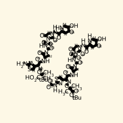 CC(C)(C)OC(=O)Nc1nc(C(=NOC(C)(C)C(=O)OC(C)(C)C)C(=O)NC2CN(C(=O)NS(=O)(=O)N3C(=O)CN(NC(=O)c4cc(=O)c(O)c[nH]4)C3=O)C2=O)cs1.CC(C)(ON=C(C(=O)NC1CN(C(=O)NS(=O)(=O)N2C(=O)CN(NC(=O)c3cc(=O)c(O)c[nH]3)C2=O)C1=O)c1csc(N)n1)C(=O)O